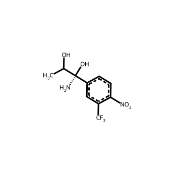 CC(O)[C@@](N)(O)c1ccc([N+](=O)[O-])c(C(F)(F)F)c1